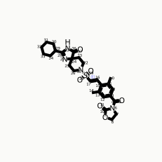 Cc1cc(C(=O)N2CCOC2=O)cc(C)c1/C=C/S(=O)(=O)N1CCC2(CC1)N=C(C1CCCCC1)NC2=O